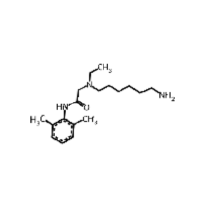 CCN(CCCCCCN)CC(=O)Nc1c(C)cccc1C